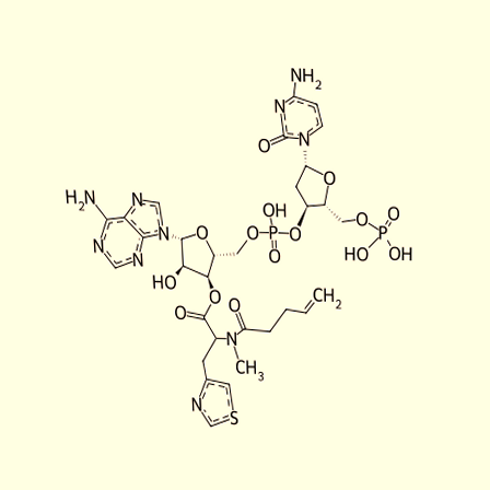 C=CCCC(=O)N(C)C(Cc1cscn1)C(=O)O[C@H]1[C@@H](O)[C@H](n2cnc3c(N)ncnc32)O[C@@H]1COP(=O)(O)O[C@H]1C[C@H](n2ccc(N)nc2=O)O[C@@H]1COP(=O)(O)O